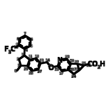 CC1CC(c2ccccc2C(F)(F)F)c2cc(COc3cc4c(cn3)C3C(C4)C3C(=O)O)ccc21